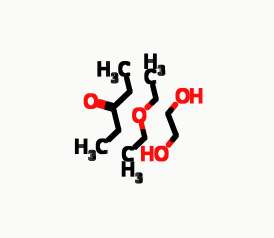 CCC(=O)CC.CCOCC.OCCO